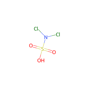 O=S(=O)(O)N(Cl)Cl